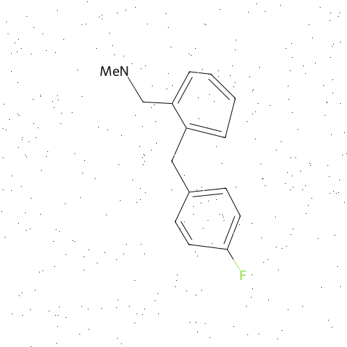 CNCc1ccccc1Cc1ccc(F)cc1